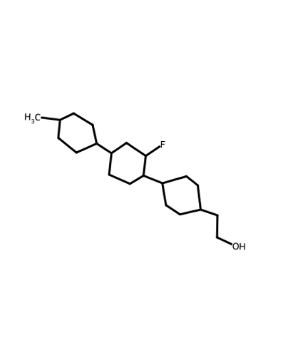 CC1CCC(C2CCC(C3CCC(CCO)CC3)C(F)C2)CC1